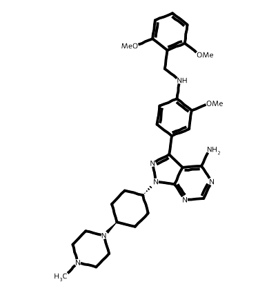 COc1cc(-c2nn([C@H]3CC[C@H](N4CCN(C)CC4)CC3)c3ncnc(N)c23)ccc1NCc1c(OC)cccc1OC